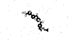 Cc1cc2ccc(C(=O)N3CCC4(CC3)CC(=O)c3cc(-c5cncc(C(=O)O)c5)ccc3O4)cc2n1OCC1CC1